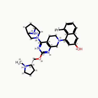 CC(C)c1cccc2cc(O)cc(N3CCc4c(nc(OC[C@@H]5CCCN5C)nc4N4CC5CCC(C4)N5)C3)c12